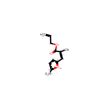 C=CCOC(=O)/C(C#N)=C\c1ccc([N+](=O)[O-])o1